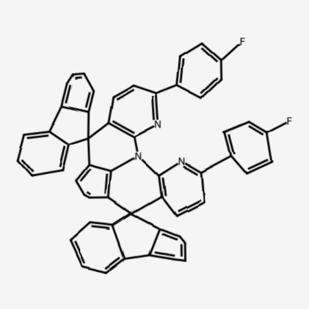 Fc1ccc(-c2ccc3c(n2)N2c4nc(-c5ccc(F)cc5)ccc4C4(c5ccccc5-c5ccccc54)c4cccc(c42)C32c3ccccc3-c3ccccc32)cc1